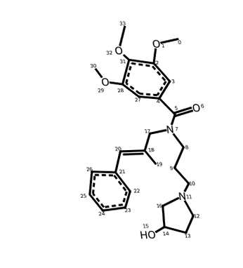 COc1cc(C(=O)N(CCCN2CCC(O)C2)CC(C)=Cc2ccccc2)cc(OC)c1OC